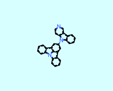 c1ccc2c(c1)c1cnccc1n2-c1cc2c3ccccc3n3c4ccccc4c(c1)c23